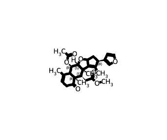 COC(=O)C[C@H]1[C@]2(C)C3=C(C)[C@H](c4ccoc4)CC3O[C@@H]2[C@H](OC(C)=O)C2C(C)=CCC(=O)[C@@]21C